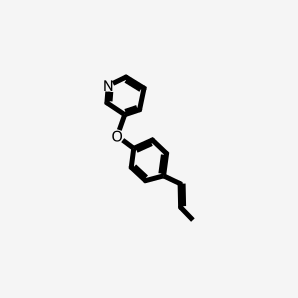 C/C=C/c1ccc(Oc2cccnc2)cc1